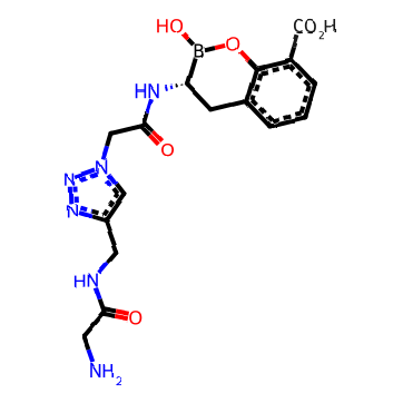 NCC(=O)NCc1cn(CC(=O)N[C@H]2Cc3cccc(C(=O)O)c3OB2O)nn1